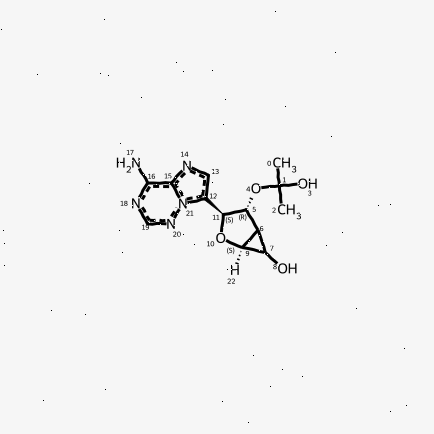 CC(C)(O)O[C@@H]1C2C(O)[C@H]2O[C@H]1c1cnc2c(N)ncnn12